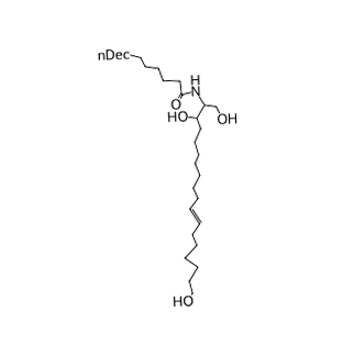 CCCCCCCCCCCCCCCC(=O)NC(CO)C(O)CCCCCCCC=CCCCCCCO